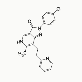 Cc1[nH]cc2c(=O)n(-c3ccc(Cl)cc3)nc-2c1CCc1ccccn1